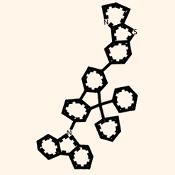 c1ccc(C2(c3ccccc3)c3cc(-c4ccc5sc6cccnc6c5c4)ccc3-c3ccc(-n4c5ccccc5c5ccccc54)cc32)cc1